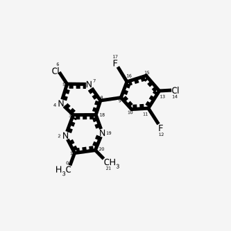 Cc1nc2nc(Cl)nc(-c3cc(F)c(Cl)cc3F)c2nc1C